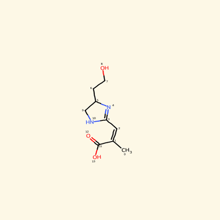 CC(=CC1=NC(CCO)CN1)C(=O)O